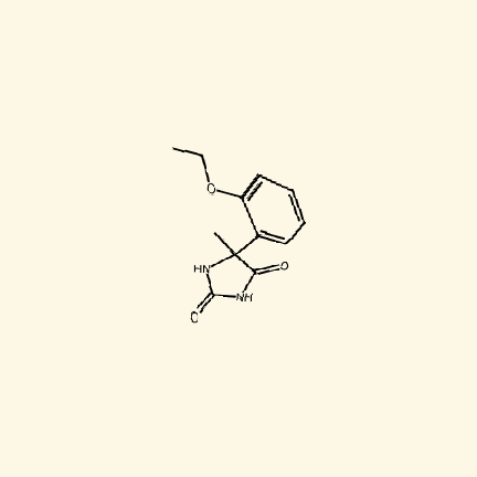 CCOc1ccccc1C1(C)NC(=O)NC1=O